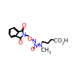 CN(CCCC(=O)O)/[N+]([O-])=N/OCN1C(=O)c2ccccc2C1=O